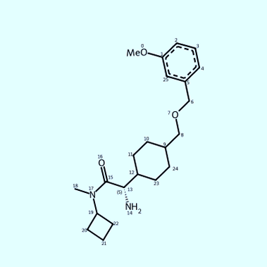 COc1cccc(COCC2CCC([C@H](N)C(=O)N(C)C3CCC3)CC2)c1